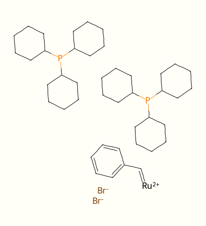 C1CCC(P(C2CCCCC2)C2CCCCC2)CC1.C1CCC(P(C2CCCCC2)C2CCCCC2)CC1.[Br-].[Br-].[Ru+2]=[CH]c1ccccc1